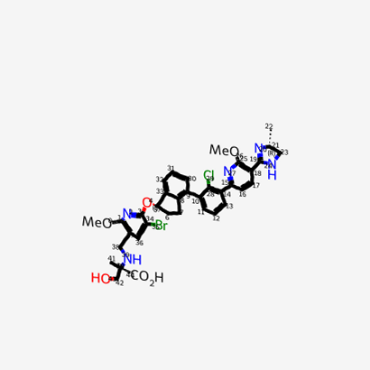 COc1nc(O[C@H]2CCc3c(-c4cccc(-c5ccc(C6=N[C@H](C)CN6)c(OC)n5)c4Cl)cccc32)c(Br)cc1CN[C@@](C)(CO)C(=O)O